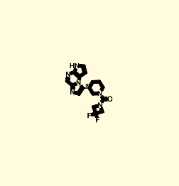 O=C(N1CCC[C@@H](c2cnc3cnc4[nH]ccc4n23)C1)N1CC(F)(F)C1